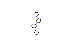 Fc1ccc(-c2cccc(-c3ccccc3)c2)cc1-c1ccccn1